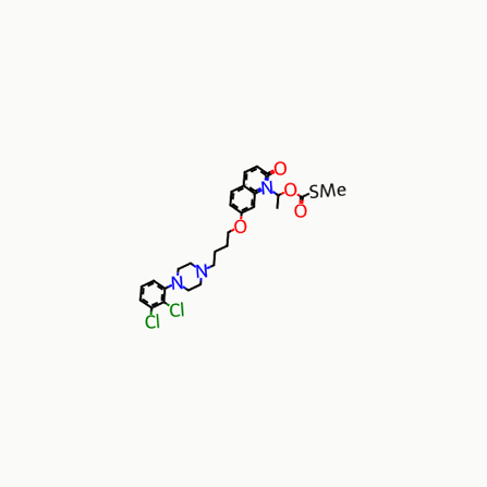 CSC(=O)OC(C)n1c(=O)ccc2ccc(OCCCCN3CCN(c4cccc(Cl)c4Cl)CC3)cc21